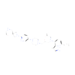 CC1CN(c2ccc(C#N)n3ncc(F)c23)CC(CN2CCN(c3ccc(N4CC5(CNCCO5)C4)nc3)CC2)O1